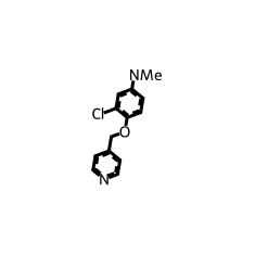 CNc1ccc(OCc2ccncc2)c(Cl)c1